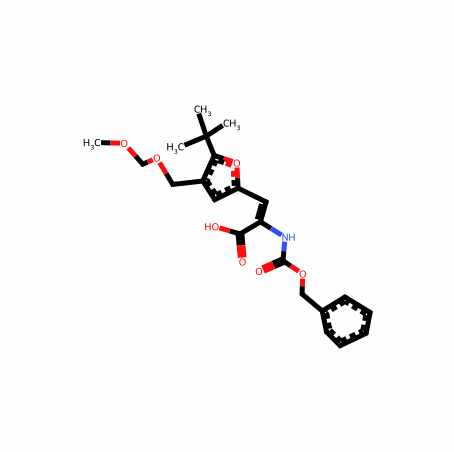 COCOCc1cc(C=C(NC(=O)OCc2ccccc2)C(=O)O)oc1C(C)(C)C